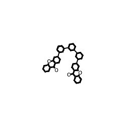 O=c1c2ccccc2oc2cc(-c3cccc(-c4cccc(-c5cccc(-c6ccc7c(=O)c8ccccc8oc7c6)c5)c4)c3)ccc12